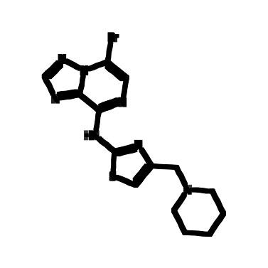 Brc1cnc(Nc2nc(CN3CCCCC3)cs2)c2ncnn12